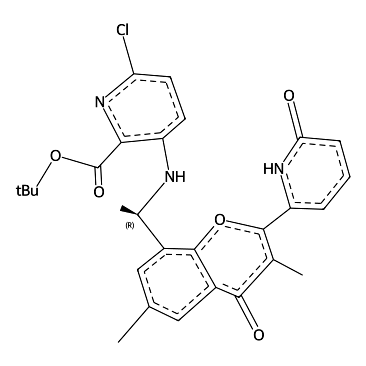 Cc1cc([C@@H](C)Nc2ccc(Cl)nc2C(=O)OC(C)(C)C)c2oc(-c3cccc(=O)[nH]3)c(C)c(=O)c2c1